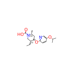 CC[C@H]1CN(C(=O)O)[C@@H](C)C[C@@H]1Oc1ccc(OC(C)C)cn1